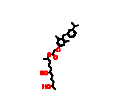 Cc1cc(OCC(=O)OC(C)CCCC(O)CCCC(C)O)cc(C)c1Cc1cccc(C(C)C)c1